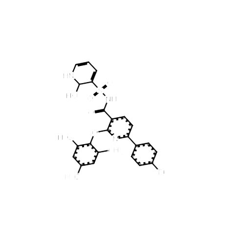 CCc1ccc(-c2ccc(C(=O)NS(=O)(=O)C3=CC=CNC3O)c(Oc3c(C)cc(C)cc3C)n2)cc1